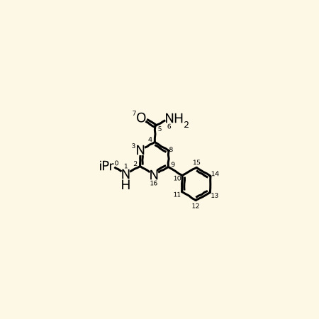 CC(C)Nc1nc(C(N)=O)cc(-c2ccccc2)n1